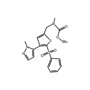 CN(Cc1cc(-c2ccnn2C)c(S(=O)(=O)c2ccccc2)s1)C(=O)OC(C)(C)C